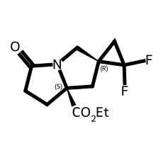 CCOC(=O)[C@@]12CCC(=O)N1C[C@]1(CC1(F)F)C2